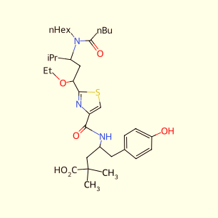 CCCCCCN(C(=O)CCCC)C(CC(OCC)c1nc(C(=O)NC(Cc2ccc(O)cc2)CC(C)(C)C(=O)O)cs1)C(C)C